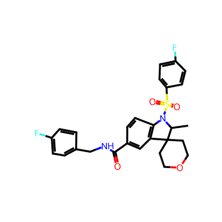 CC1N(S(=O)(=O)c2ccc(F)cc2)c2ccc(C(=O)NCc3ccc(F)cc3)cc2C12CCOCC2